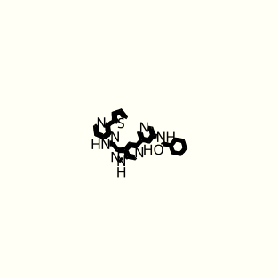 OC(Nc1cncc(-c2cc3c(-c4nc5c(-c6cccs6)nccc5[nH]4)n[nH]c3cn2)c1)C1CCCCC1